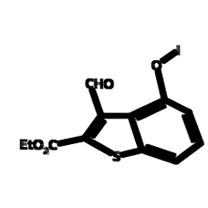 CCOC(=O)c1sc2cccc(OI)c2c1C=O